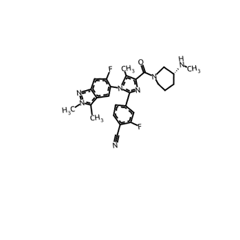 CN[C@@H]1CCCN(C(=O)c2nc(-c3ccc(C#N)c(F)c3)n(-c3cc4c(C)n(C)nc4cc3F)c2C)C1